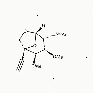 C#C[C@@]12CO[C@@H](O1)[C@H](NC(C)=O)[C@@H](OC)[C@H]2OC